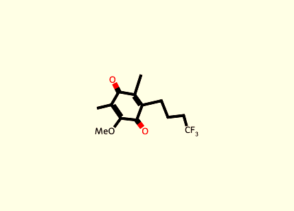 COC1=C(C)C(=O)C(C)=C(CCCC(F)(F)F)C1=O